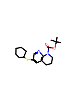 CC(C)(C)OC(=O)N1CCCc2cc(SC3CCCCC3)cnc21